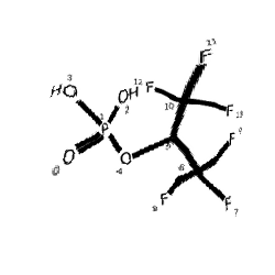 O=P(O)(O)OC(C(F)(F)F)C(F)(F)F